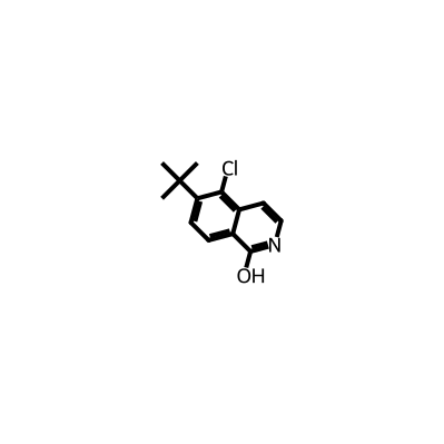 CC(C)(C)c1ccc2c(O)nccc2c1Cl